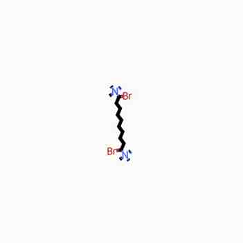 C[N+](C)(C)C(Br)CCCCCCCCC(Br)[N+](C)(C)C